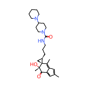 CC1=CC2=C(C)[C@]3(C[C@H]3CCCNC(=O)N3CCC(N4CCCCC4)CC3)[C@@](C)(O)C(=O)C2=C1